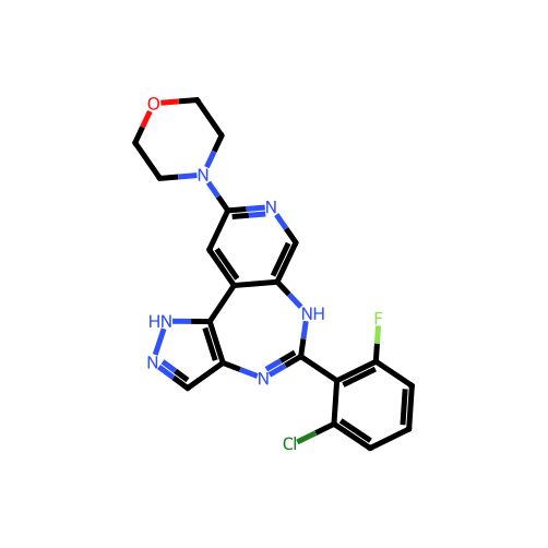 Fc1cccc(Cl)c1C1=Nc2cn[nH]c2-c2cc(N3CCOCC3)ncc2N1